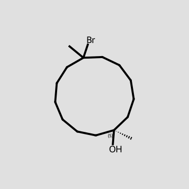 CC1(Br)CCCCCC[C@](C)(O)CCCCC1